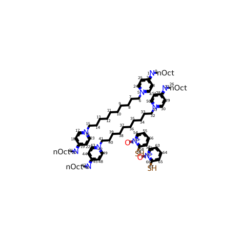 CCCCCCCCN=c1ccn(CCCCCCCCCCn2ccc(=NCCCCCCCC)cc2)cc1.CCCCCCCCN=c1ccn(CCCCCCCCCCn2ccc(=NCCCCCCCC)cc2)cc1.[O-][n+]1ccccc1S.[O-][n+]1ccccc1S